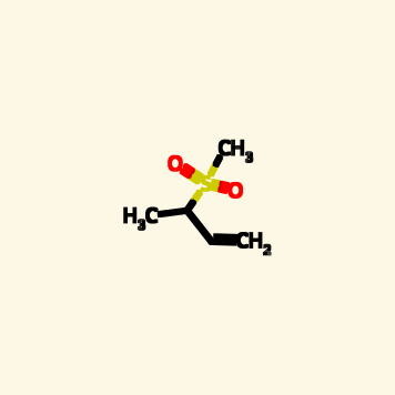 C=CC(C)S(C)(=O)=O